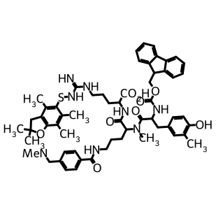 CNCc1ccc(C(=O)NCCCC(C(=O)NC(CCCNC(=N)NSc2c(C)c(C)c3c(c2C)CC(C)(C)O3)C(=O)O)N(C)C(=O)C(Cc2ccc(O)c(C)c2)NC(=O)OCC2c3ccccc3-c3ccccc32)cc1